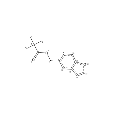 CC(C)(C)C(=O)OCc1ccc2occc2c1